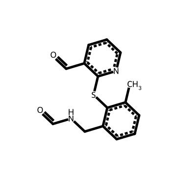 Cc1cccc(CNC=O)c1Sc1ncccc1C=O